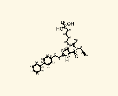 C#CCn1c(=O)c2[nH]c(CCc3ccc(-c4ccccc4)cc3)nc2n(CCCCP(=O)(O)O)c1=O